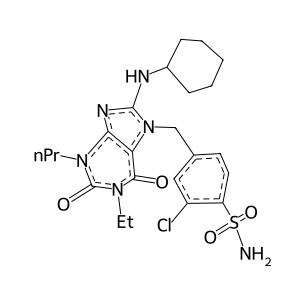 CCCn1c(=O)n(CC)c(=O)c2c1nc(NC1CCCCC1)n2Cc1ccc(S(N)(=O)=O)c(Cl)c1